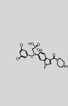 Cn1cc(C(=O)N2CCNCC2)c2ccc(N(CP(=O)(O)O)Sc3cc(Cl)cc(Cl)c3)cc21